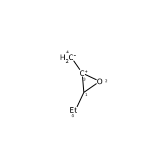 [CH2-][CH+]C1O[C+]1[CH2-]